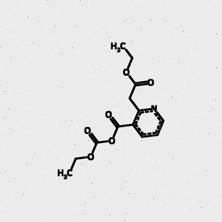 CCOC(=O)Cc1ncccc1C(=O)OC(=O)OCC